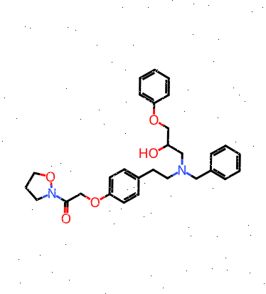 O=C(COc1ccc(CCN(Cc2ccccc2)CC(O)COc2ccccc2)cc1)N1CCCO1